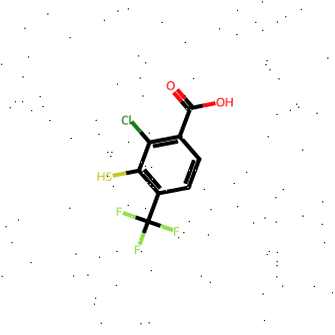 O=C(O)c1ccc(C(F)(F)F)c(S)c1Cl